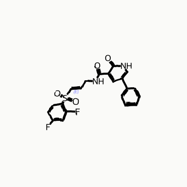 O=C(NC/C=C/S(=O)(=O)c1ccc(F)cc1F)c1cc(-c2ccccc2)c[nH]c1=O